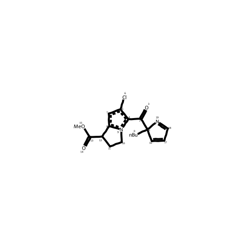 CCCCC1(C(=O)c2c(Cl)cc3n2CCC3C(=O)OC)C=CC=N1